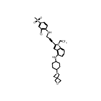 CS(=O)(=O)c1ccc(NCC#Cc2cc3c(NC4CCC(N5CC6(COC6)C5)CC4)cccc3n2CC(F)(F)F)c(Cl)c1